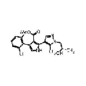 COC(=O)c1c(-c2c(F)cccc2Cl)c[nH]c1-c1cnn(C[C@H](C)O)c1C(F)(F)F